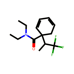 CCN(CC)C(=O)C1(C(C)C(F)(F)F)C=CC=CC1